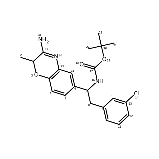 CC1Oc2ccc(C(Cc3cccc(Cl)c3)NC(=O)OC(C)(C)C)cc2N=C1N